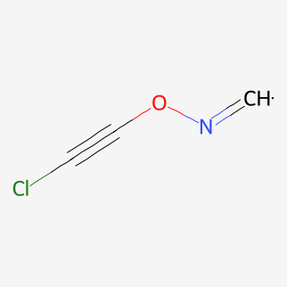 [CH]=NOC#CCl